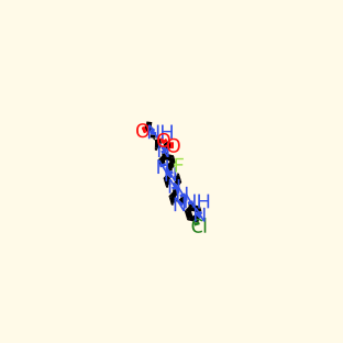 CC(=O)NC[C@H]1CN(c2cnc(N3CCN(c4ccnc(Nc5ccc(Cl)nc5)n4)CC3)c(F)c2)C(=O)O1